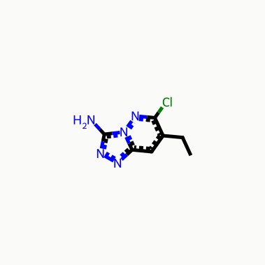 CCc1cc2nnc(N)n2nc1Cl